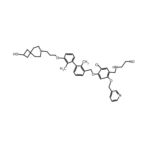 Cc1c(COc2cc(OCc3cccnc3)c(CNCCN=O)cc2Cl)cccc1-c1cccc(OCCCN2CCC3(CC2)CC(O)C3)c1C